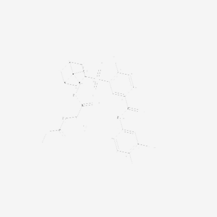 COC(=O)N[C@@H](N)C(=O)NCC1(O)C2CC1CC(S(=O)(=O)c1cc(C(=O)Nc3ccc(F)c(F)c3)ccc1Cl)C2